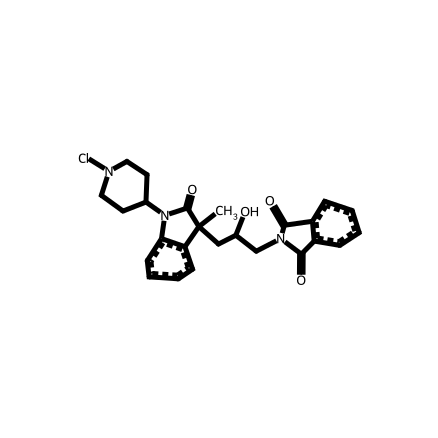 CC1(CC(O)CN2C(=O)c3ccccc3C2=O)C(=O)N(C2CCN(Cl)CC2)c2ccccc21